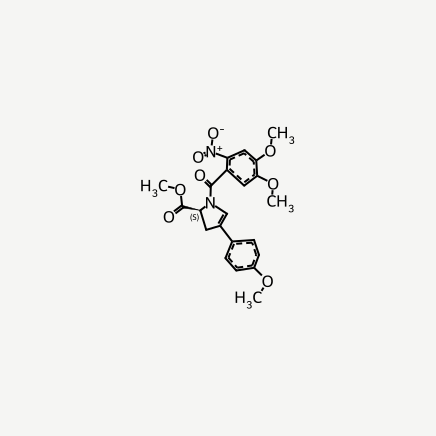 COC(=O)[C@@H]1CC(c2ccc(OC)cc2)=CN1C(=O)c1cc(OC)c(OC)cc1[N+](=O)[O-]